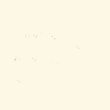 CCCC[C@@]1(C(=O)N(CCC)C(=O)c2nccs2)CN(C)CCN1C(N)=O